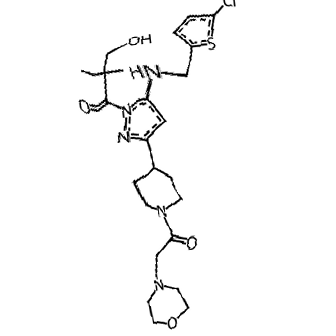 CC(C)(CO)C(=O)n1nc(C2CCN(C(=O)CN3CCOCC3)CC2)cc1NCc1ccc(Cl)s1